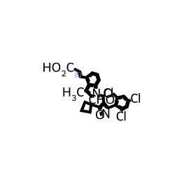 Cc1cn(C(=O)c2c(-c3c(Cl)cc(Cl)cc3Cl)noc2C2(C=O)CCC2)c2cccc(/C=C/C(=O)O)c12